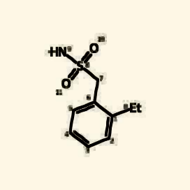 CCc1ccccc1CS([NH])(=O)=O